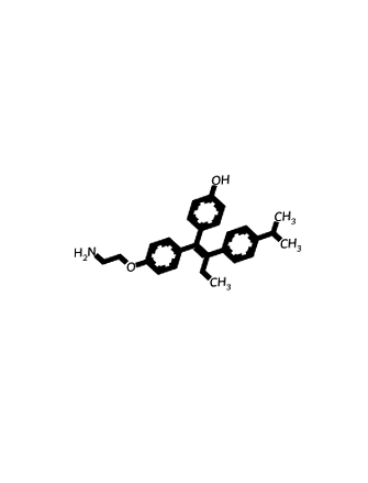 CCC(=C(c1ccc(O)cc1)c1ccc(OCCN)cc1)c1ccc(C(C)C)cc1